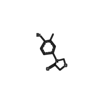 Cc1cc(N2COCC2=O)ccc1Br